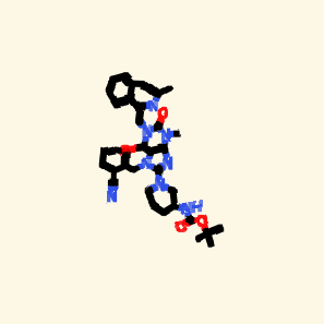 Cc1cc2ccccc2c(Cn2c(=O)c3c(nc(N4CCCC(NC(=O)OC(C)(C)C)C4)n3Cc3ccccc3C#N)n(C)c2=O)n1